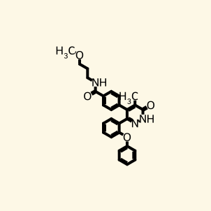 COCCCNC(=O)c1ccc(-c2c(-c3ccccc3Oc3ccccc3)n[nH]c(=O)c2C)cc1